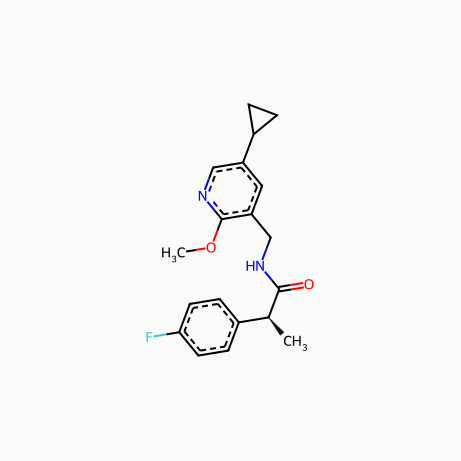 COc1ncc(C2CC2)cc1CNC(=O)[C@@H](C)c1ccc(F)cc1